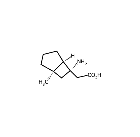 C[C@]12CCC[C@H]1[C@@](N)(CC(=O)O)C2